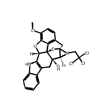 COc1ccc2c3c1O[C@H]1c4[nH]c5ccccc5c4C[C@@]4(O)[C@@H]5N(CC(Cl)(Cl)Cl)[C@]5(C2)C[C@]314